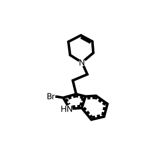 Brc1[nH]c2ccccc2c1CCN1CC=CCC1